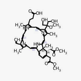 C=CC1=C(C)C2=NC/1=C\C1NC(=C(CCC(=O)O)C1C)/C=C1N=C(/C=C3\N/C(=C\2)C2=CC=C(CC(=O)OC)[C@@H](CC(=O)OC)[C@]23C)C(C)=C\1C(CO)(CO)OC